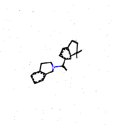 C=C(c1ccc2c(c1)C(C)(C)CC2)N1CCc2ccccc2C1